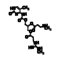 CNCCC(=O)OC(COC(=O)CCNC(=N)NC)COC(=O)Nc1nc(=O)[nH]cc1C